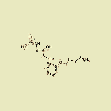 CCCCCOc1ccccc1OCC(O)CNC(C)C